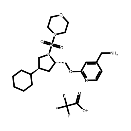 NCc1ccnc(OC[C@@H]2C[C@@H](C3CCCCC3)CN2S(=O)(=O)N2CCOCC2)c1.O=C(O)C(F)(F)F